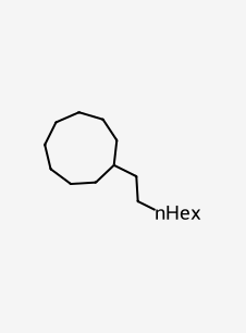 CCCCCCCCC1CCCCCCCC1